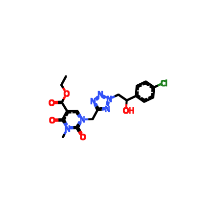 CCOC(=O)c1cn(Cc2nnn(CC(O)c3ccc(Cl)cc3)n2)c(=O)n(C)c1=O